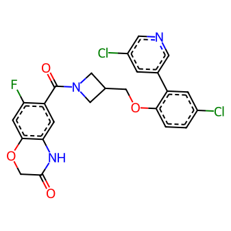 O=C1COc2cc(F)c(C(=O)N3CC(COc4ccc(Cl)cc4-c4cncc(Cl)c4)C3)cc2N1